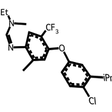 CCN(C)/C=N\c1cc(C(F)(F)F)c(Oc2ccc(Cl)c(C(C)C)c2)cc1C